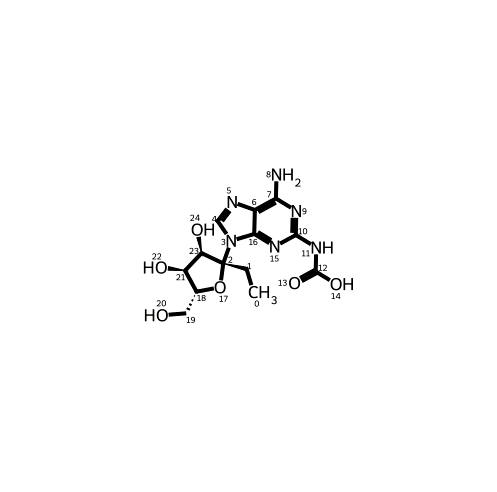 CC[C@@]1(n2cnc3c(N)nc(NC(=O)O)nc32)O[C@H](CO)[C@@H](O)[C@H]1O